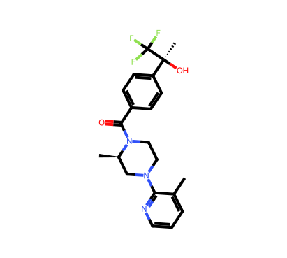 Cc1cccnc1N1CCN(C(=O)c2ccc([C@](C)(O)C(F)(F)F)cc2)[C@H](C)C1